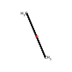 CCCCCCCCCCCCCCCCCCCCCCCOCCCCCCCCCCCCCCCCCCCC